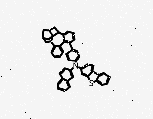 c1ccc2c(c1)-c1c(-c3ccc(N(c4ccc5ccccc5c4)c4ccc5c(c4)sc4ccccc45)cc3)cccc1C1CC3CC4CC2C31C4